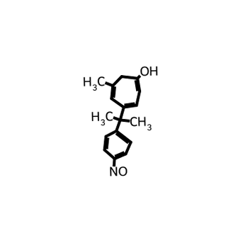 CC1=CC(C(C)(C)c2ccc(N=O)cc2)=CC=C(O)C1